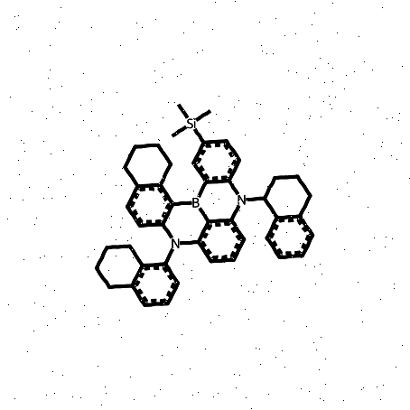 C[Si](C)(C)c1ccc2c(c1)B1c3c(cccc3N2C2CCCc3ccccc32)N(c2cccc3c2CCCC3)c2ccc3c(c21)CCCC3